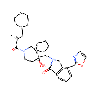 C[C@H](CC1CCCCC1)C(=O)N1CC[C@@](O)(CN2Cc3c(cccc3-c3ncco3)C2=O)C2(CCCC2)C1